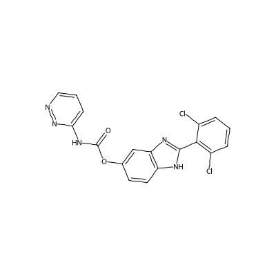 O=C(Nc1cccnn1)Oc1ccc2[nH]c(-c3c(Cl)cccc3Cl)nc2c1